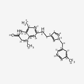 Cc1nc(NCc2cnn(Cc3cncc(C(F)(F)F)c3)c2)nc2c1NC(=O)CN2C